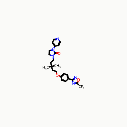 CC(C)(CCOc1ccc(-c2noc(C(F)(F)F)n2)cc1)CCN1CCN(c2ccncc2)C1=O